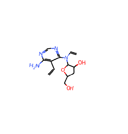 C=Cc1c(N)ncnc1N(C=C)C1OC(CO)CC1O